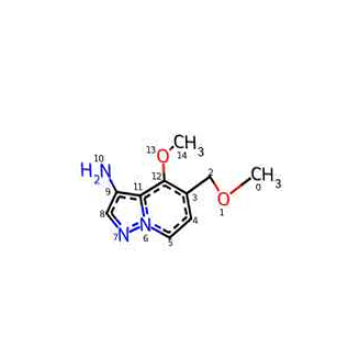 COCc1ccn2ncc(N)c2c1OC